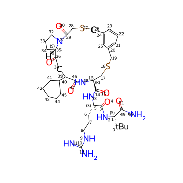 CC(C)(C)[C@H](NC(=O)[C@H](CCCNC(=N)N)NC(=O)[C@@H]1CSCc2cccc(c2)CSCC(=O)N2CCC[C@H]2C(=O)CC(C2CCCCC2)C(=O)N1)C(N)=O